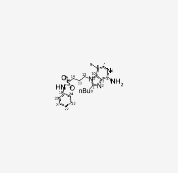 CCCCc1nc2c(N)ncc(C)c2n1CCCS(=O)(=O)Nc1ccccc1